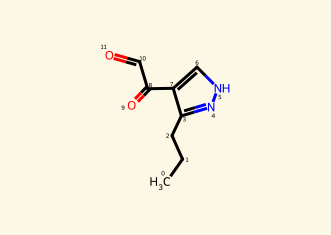 CCCc1n[nH]cc1C(=O)C=O